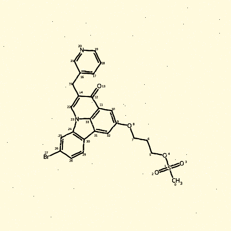 CS(=O)(=O)OCCCOc1cc2c(=O)c(Cc3cccnc3)cn3c4cc(Br)ccc4c(c1)c23